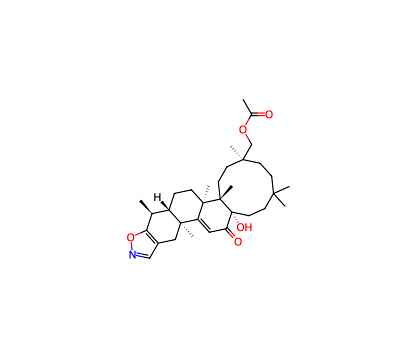 CC(=O)OC[C@@]1(C)CCC(C)(C)CC[C@@]2(O)C(=O)C=C3[C@@]4(C)Cc5cnoc5[C@@H](C)[C@@H]4CC[C@@]3(C)[C@]2(C)CC1